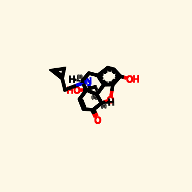 O=C1C=CC2(O)[C@H]3Cc4ccc(O)c5c4[C@@]2(CCN3CC2=CC2)[C@H]1O5